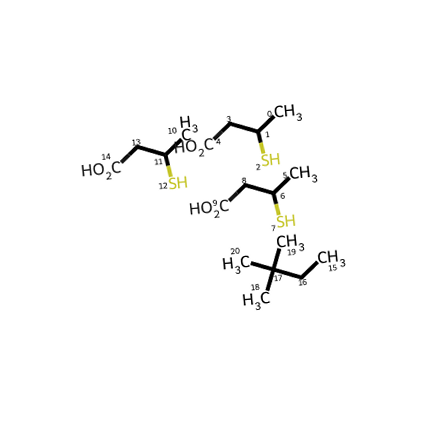 CC(S)CC(=O)O.CC(S)CC(=O)O.CC(S)CC(=O)O.CCC(C)(C)C